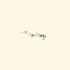 O=C(O)C[C@H]1CC[C@H](OC(=O)N2CCc3cc(NC(=O)Nc4ccccc4C(F)(F)F)ccc3C2)CC1